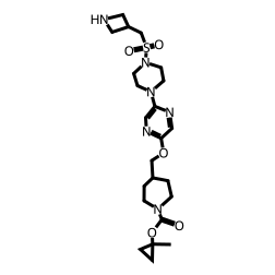 CC1(OC(=O)N2CCC(COc3cnc(N4CCN(S(=O)(=O)CC5CNC5)CC4)cn3)CC2)CC1